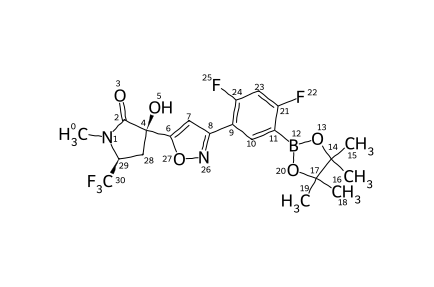 CN1C(=O)[C@](O)(c2cc(-c3cc(B4OC(C)(C)C(C)(C)O4)c(F)cc3F)no2)C[C@H]1C(F)(F)F